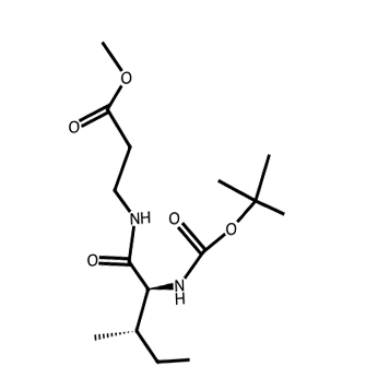 CC[C@H](C)[C@H](NC(=O)OC(C)(C)C)C(=O)NCCC(=O)OC